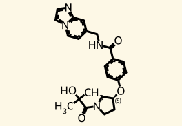 CC(C)(O)C(=O)N1CC[C@H](Oc2ccc(C(=O)NCc3ccn4ccnc4c3)cc2)C1